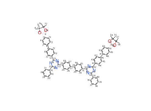 CC1(C)OB(c2ccc(-c3ccc(-c4nc(-c5ccccc5)nc(-c5ccc(-c6ccc(-c7nc(-c8ccccc8)nc(-c8ccc(-c9ccc(B%10OC(C)(C)C(C)(C)O%10)cc9)cc8)n7)cc6)cc5)n4)cc3)cc2)OC1(C)C